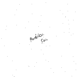 [Al+3].[Ba+2].[Ca+2].[O-2]